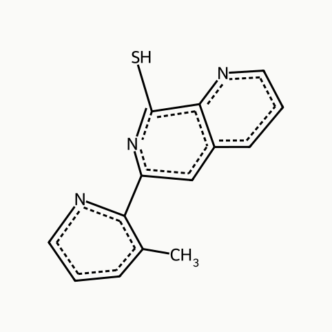 Cc1cccnc1-c1cc2cccnc2c(S)n1